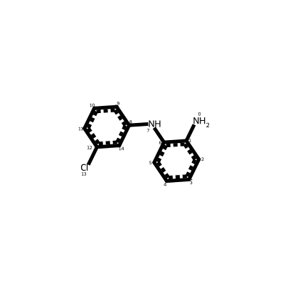 Nc1c[c]ccc1Nc1cccc(Cl)c1